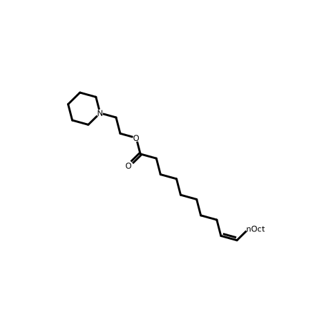 CCCCCCCC/C=C\CCCCCCCC(=O)OCCN1CCCCC1